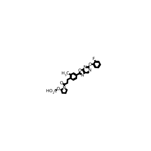 Cc1cc(-c2nc3cnc(Oc4ccccc4F)nc3o2)ccc1CCC(=O)N1CCC[C@@H]1OC(=O)O